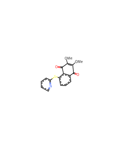 COC1=C(OC)C(=O)c2c(Sc3ccccn3)cccc2C1=O